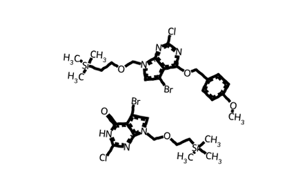 COc1ccc(COc2nc(Cl)nc3c2c(Br)cn3COCC[Si](C)(C)C)cc1.C[Si](C)(C)CCOCn1cc(Br)c2c(=O)[nH]c(Cl)nc21